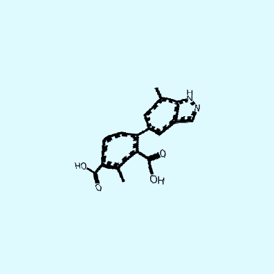 Cc1c(C(=O)O)ccc(-c2cc(C)c3[nH]ncc3c2)c1C(=O)O